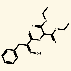 CCOC(=O)C(NC(=O)C(Cc1ccccc1)=NO)C(=O)OCC